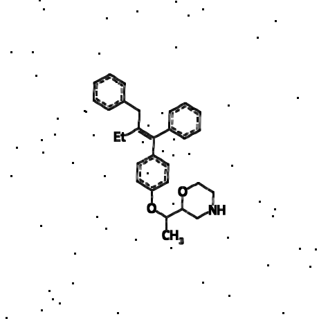 CCC(Cc1ccccc1)=C(c1ccccc1)c1ccc(OC(C)C2CNCCO2)cc1